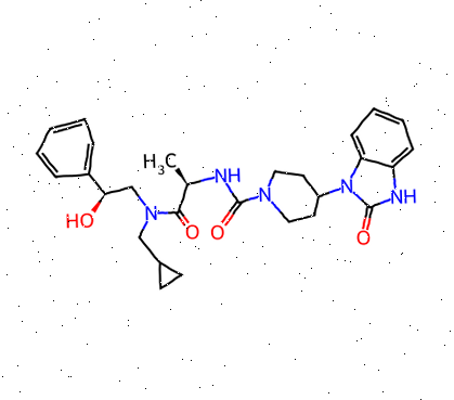 C[C@@H](NC(=O)N1CCC(n2c(=O)[nH]c3ccccc32)CC1)C(=O)N(CC1CC1)C[C@@H](O)c1ccccc1